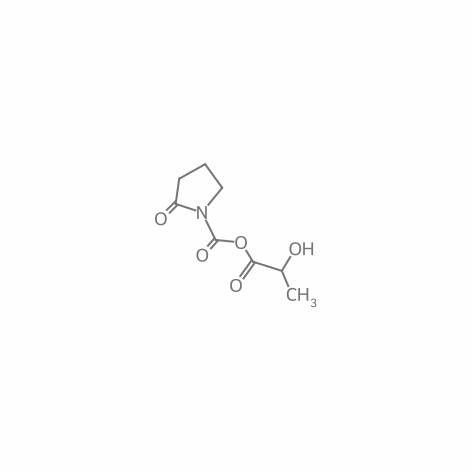 CC(O)C(=O)OC(=O)N1CCCC1=O